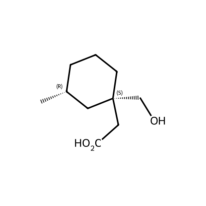 C[C@@H]1CCC[C@@](CO)(CC(=O)O)C1